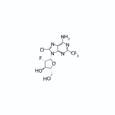 Nc1nc(C(F)(F)F)nc2c1nc(Cl)n2[C@@H]1O[C@H](CO)[C@@H](O)[C@@H]1F